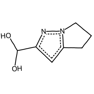 OC(O)c1cc2n(n1)CCC2